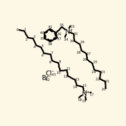 CCCCCCCCCCCCCCCC[N+](C)(C)C.CCCCCCCCCCCC[N+](C)(C)Cc1ccccc1.[Br-].[Cl-]